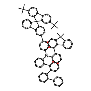 CC(C)(C)c1ccc2c(c1)C1(c3ccccc3-c3cc(-c4ccc(N(c5ccccc5-c5ccccc5-c5ccccc5-c5ccccc5)c5ccccc5-c5cccc6c5-c5ccccc5C6(C)C)cc4)ccc31)c1cc(C(C)(C)C)ccc1-2